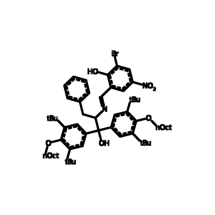 CCCCCCCCOc1c(C(C)(C)C)cc(C(O)(c2cc(C(C)(C)C)c(OCCCCCCCC)c(C(C)(C)C)c2)C(Cc2ccccc2)N=Cc2cc([N+](=O)[O-])cc(Br)c2O)cc1C(C)(C)C